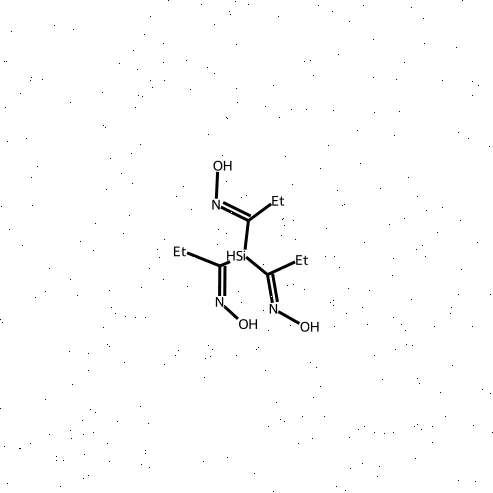 CCC(=NO)[SiH](C(CC)=NO)C(CC)=NO